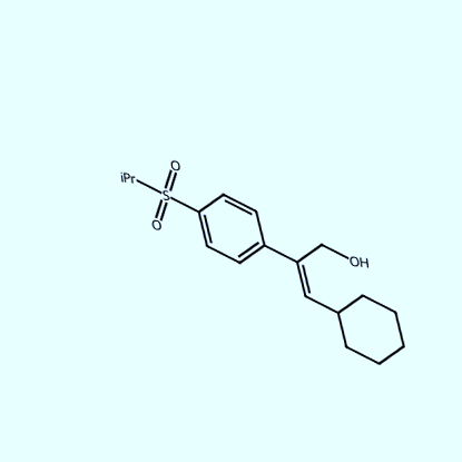 CC(C)S(=O)(=O)c1ccc(C(=CC2CCCCC2)CO)cc1